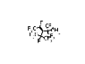 CC(C(=C(F)C(F)(F)F)C(F)(C(F)(F)F)C(F)(F)F)(C(F)(F)F)C(F)(F)F